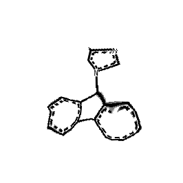 c1ccc2c(c1)-c1ccccc1C2n1ccnc1